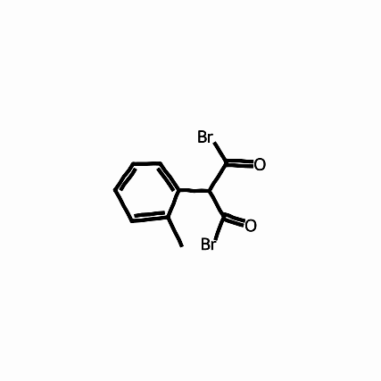 Cc1ccccc1C(C(=O)Br)C(=O)Br